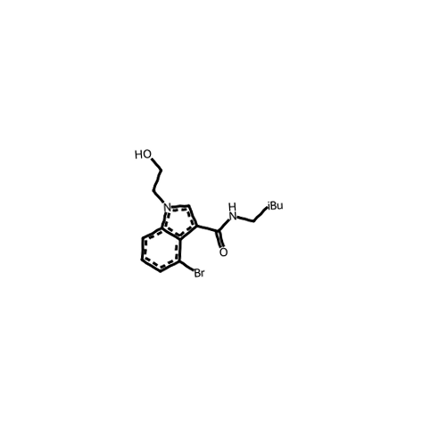 CCC(C)CNC(=O)c1cn(CCO)c2cccc(Br)c12